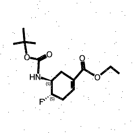 CCOC(=O)C1=CC[C@H](F)[C@@H](NC(=O)OC(C)(C)C)C1